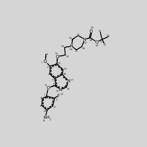 COc1cc2c(Oc3ccc(N)cc3F)ncnc2cc1OCCN1CCN(C(=O)OC(C)(C)C)CC1